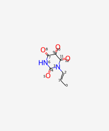 CC=CN1C(=O)NC(=O)C(=O)C1=O